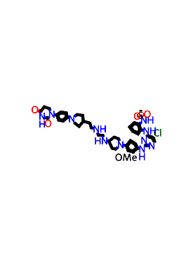 COc1cc(N2CCC(NCCNCCC3CCN(c4ccc(N5CCC(=O)NC5=O)cc4)CC3)CC2)ccc1Nc1ncc(Cl)c(Nc2ccccc2NS(C)(=O)=O)n1